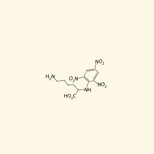 NCCCCC(Nc1c([N+](=O)[O-])cc([N+](=O)[O-])cc1[N+](=O)[O-])C(=O)O